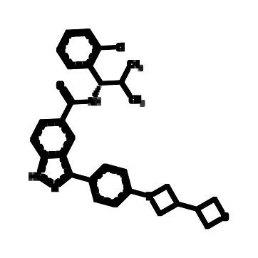 CC(C)[C@H](NC(=O)c1ccc2[nH]nc(-c3ccc(N4CC(C5COC5)C4)cc3)c2c1)c1ccccc1Cl